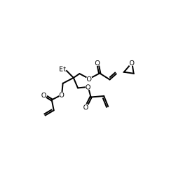 C1CO1.C=CC(=O)OCC(CC)(COC(=O)C=C)COC(=O)C=C